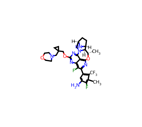 Cc1c(F)c(N)cc(-c2nc3c4c(nc(OCC5(CN6CCOCC6)CC5)nc4c2F)N2C[C@H]4CC[C@H](N4)[C@H]2[C@H](C)O3)c1C(F)(F)F